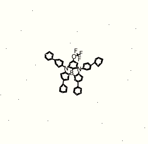 FC(F)(F)Oc1cc2c3c(c1)N(c1ccc(-c4ccccc4)cc1)c1ccc(-c4ccccc4)cc1B3c1cc(-c3ccccc3)ccc1N2c1ccc(-c2ccccc2)cc1